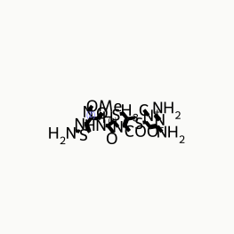 CO/N=C(\C(=O)NC1C(=O)N2C(C(=O)[O-])=C(CSc3cc(N)nc(N)[n+]3C)CS[C@@H]12)c1csc(N)n1